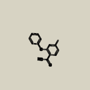 Cc1ccc(C(=O)O)c(Oc2ccccc2)c1